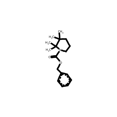 CC1(C)CCCN(C(=O)OCc2ccccc2)C1(C)C